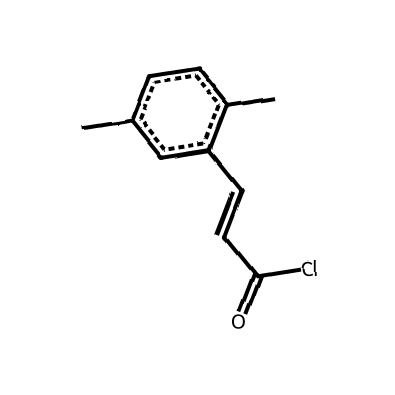 Cc1ccc(C)c(/C=C/C(=O)Cl)c1